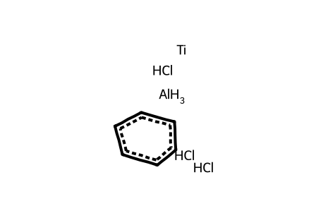 Cl.Cl.Cl.[AlH3].[Ti].c1ccccc1